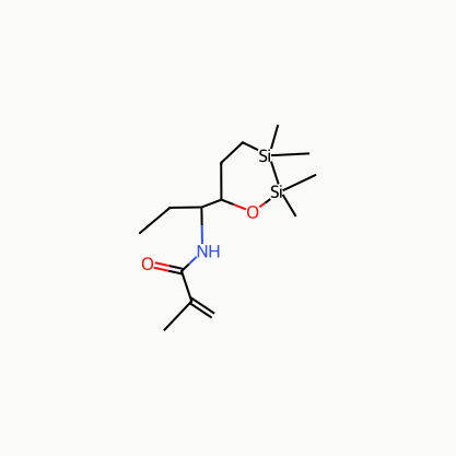 C=C(C)C(=O)NC(CC)C1CC[Si](C)(C)[Si](C)(C)O1